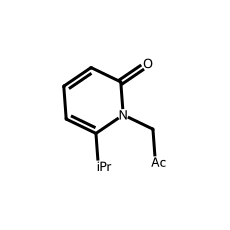 CC(=O)Cn1c(C(C)C)cccc1=O